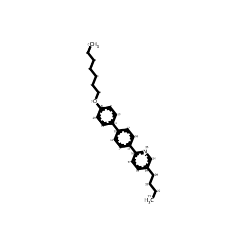 CCCCCCCOc1ccc(-c2ccc(-c3ccc(CCCC)cn3)cc2)cc1